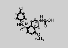 COc1ccc(S(=O)(=O)Nc2ccc(Cl)cc2)c2c1C[C@@H](NC(=O)O)CC2